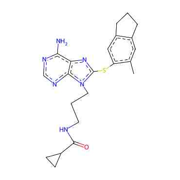 Cc1cc2c(cc1Sc1nc3c(N)ncnc3n1CCCNC(=O)C1CC1)CCC2